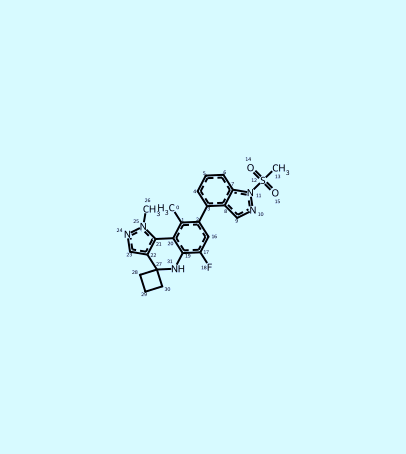 Cc1c(-c2cccc3c2cnn3S(C)(=O)=O)cc(F)c2c1-c1c(cnn1C)C1(CCC1)N2